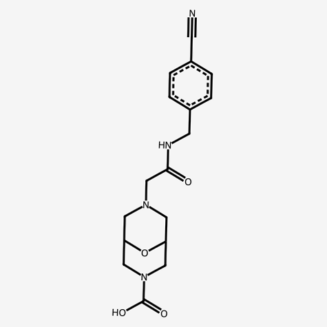 N#Cc1ccc(CNC(=O)CN2CC3CN(C(=O)O)CC(C2)O3)cc1